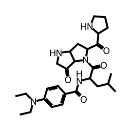 CCN(CC)c1ccc(C(=O)NC(CC(C)C)C(=O)N2C(C(=O)C3CCCN3)CC3NCC(=O)C32)cc1